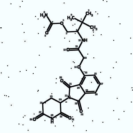 CC(C)(C)C(COC(N)=O)NC(=O)COc1cccc2c1C(=O)N(C1CCC(=O)NC1=O)C2=O